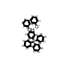 Oc1ccccc1.[O-]c1ccccc1.c1ccc([P+](c2ccccc2)(c2ccccc2)c2ccccc2)cc1